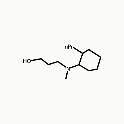 CCCC1CCCCC1N(C)CCCO